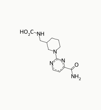 NC(=O)c1ccnc(N2CCCC(CNC(=O)O)C2)n1